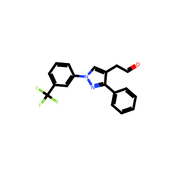 O=CCc1cn(-c2cccc(C(F)(F)F)c2)nc1-c1ccccc1